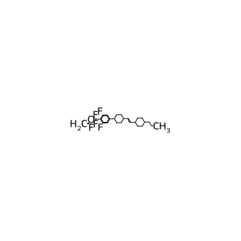 C=C(F)OC(F)(F)c1c(F)cc(C2CCC(/C=C/C3CCC(CCC)CC3)CC2)cc1F